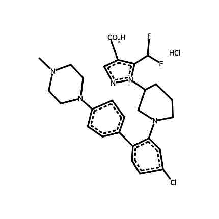 CN1CCN(c2ccc(-c3ccc(Cl)cc3N3CCCC(n4ncc(C(=O)O)c4C(F)F)C3)cc2)CC1.Cl